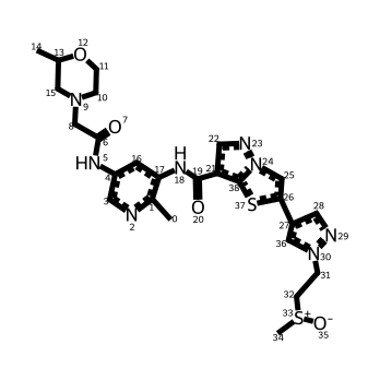 Cc1ncc(NC(=O)CN2CCOC(C)C2)cc1NC(=O)c1cnn2cc(-c3cnn(CC[S+](C)[O-])c3)sc12